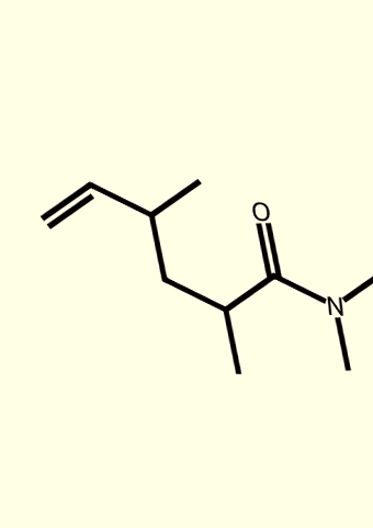 C=CC(C)CC(C)C(=O)N(C)C